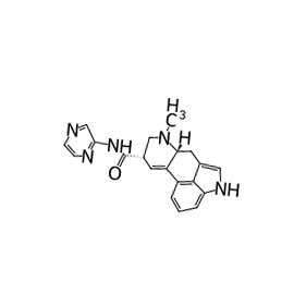 CN1C[C@@H](C(=O)Nc2cnccn2)C=C2c3cccc4[nH]cc(c34)C[C@H]21